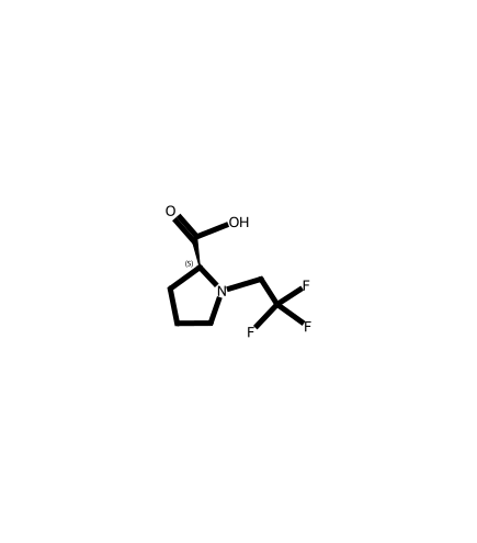 O=C(O)[C@@H]1CCCN1CC(F)(F)F